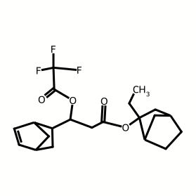 CCC1(OC(=O)CC(OC(=O)C(F)(F)F)C2CC3C=CC2C3)CC2CCC1C2